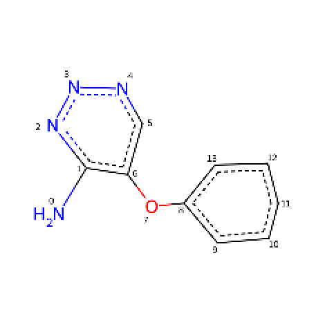 Nc1nnncc1Oc1ccccc1